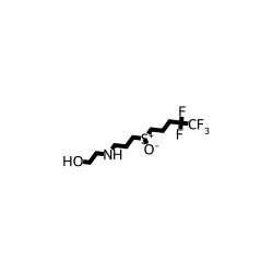 [O-][S+](CCCNCCO)CCCC(F)(F)C(F)(F)F